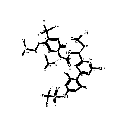 Cc1cc(NS(=O)(=O)C(F)(F)F)cc(C)c1-c1cc(Cl)nc([C@H](CC(=O)O)NC(=O)[C@H](CC(C)C)n2cc(CCN(C)C)c(C(F)(F)F)cc2=O)c1